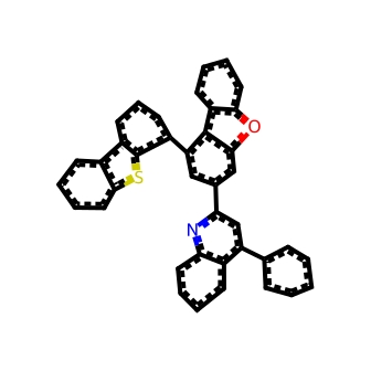 c1ccc(-c2cc(-c3cc(-c4cccc5c4sc4ccccc45)c4c(c3)oc3ccccc34)nc3ccccc23)cc1